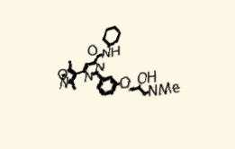 CNCC(O)COc1cccc(-c2nc(C(=O)NC3CCCCC3)cc(-c3c(C)noc3C)n2)c1